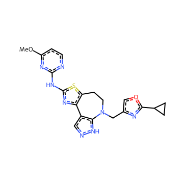 COc1ccnc(Nc2nc3c(s2)CCN(Cc2coc(C4CC4)n2)c2[nH]ncc2-3)n1